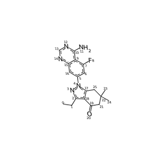 CCc1nn(-c2cc(F)c3c(N)ncnc3c2)c2c1C(=O)CC(C)(C)C2